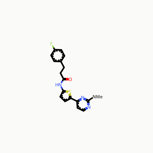 CNc1nccc(-c2ccc(NC(=O)CCc3ccc(F)cc3)s2)n1